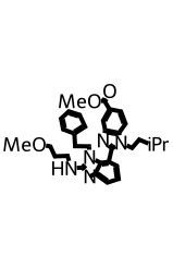 COCCCNc1nc2cccc(-c3nc4cc(C(=O)OC)ccc4n3CCC(C)C)c2n1CCc1ccccc1